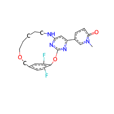 Cn1cc(-c2cc3nc(n2)Oc2c(F)cc(cc2F)COCCCCCN3)ccc1=O